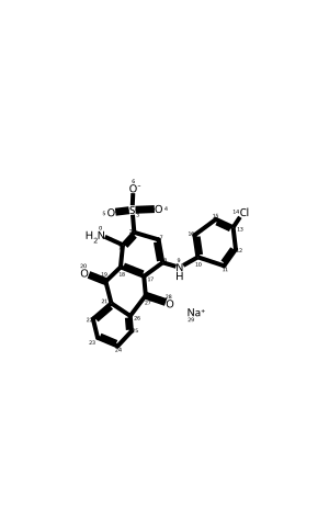 Nc1c(S(=O)(=O)[O-])cc(Nc2ccc(Cl)cc2)c2c1C(=O)c1ccccc1C2=O.[Na+]